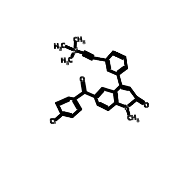 Cn1c(=O)cc(-c2cccc(C#C[Si](C)(C)C)c2)c2cc(C(=O)c3ccc(Cl)cc3)ccc21